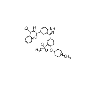 CN1CCC(Oc2ccc(-c3n[nH]c4ccc(C(=O)NC(c5ccccn5)C5CC5)cc34)cc2S(C)(=O)=O)CC1